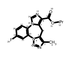 Cc1nnn2c1Cc1c(C(=O)OC(C)C)ncn1-c1ccc(F)cc1-2